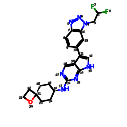 FC(F)Cn1nnc2ccc(-c3c[nH]c4nc(N[C@H]5CC[C@]6(CCO6)CC5)ncc34)cc21